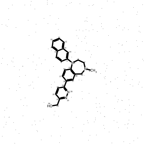 CN1CCN(c2ccc3ccccc3c2)c2ccc(-c3ccc(CO)nn3)cc2C1